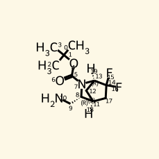 CC(C)(C)OC(=O)N1[C@@H](CN)[C@H]2C[C@@H]1C(F)(F)C2